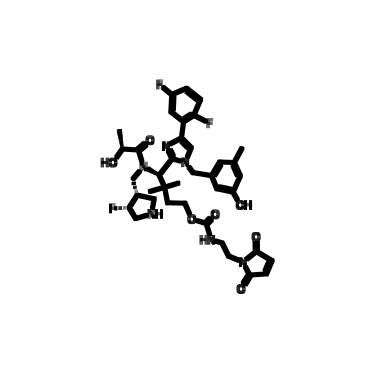 Cc1cc(O)cc(Cn2cc(-c3cc(F)ccc3F)nc2[C@H](N(C[C@@H]2CNC[C@@H]2F)C(=O)[C@H](C)O)C(C)(C)CCOC(=O)NCCN2C(=O)C=CC2=O)c1